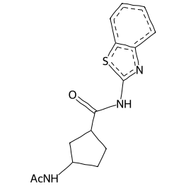 CC(=O)NC1CCC(C(=O)Nc2nc3ccccc3s2)C1